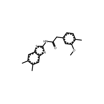 COc1cc(CC(=O)Nc2nc3cc(C)c(C)cc3s2)ccc1C